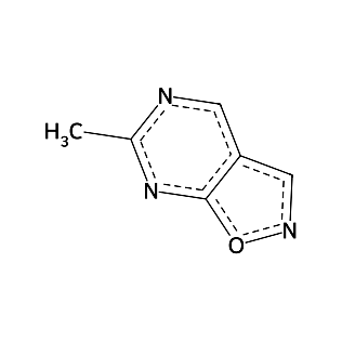 Cc1ncc2cnoc2n1